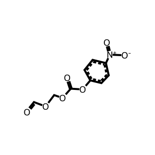 O=COCOC(=O)Oc1ccc([N+](=O)[O-])cc1